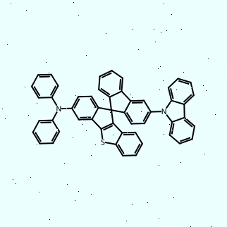 c1ccc(N(c2ccccc2)c2ccc3c(c2)-c2sc4ccccc4c2C32c3ccccc3-c3cc(-n4c5ccccc5c5ccccc54)ccc32)cc1